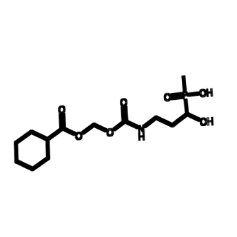 CP(=O)(O)C(O)CCNC(=O)OCOC(=O)C1CCCCC1